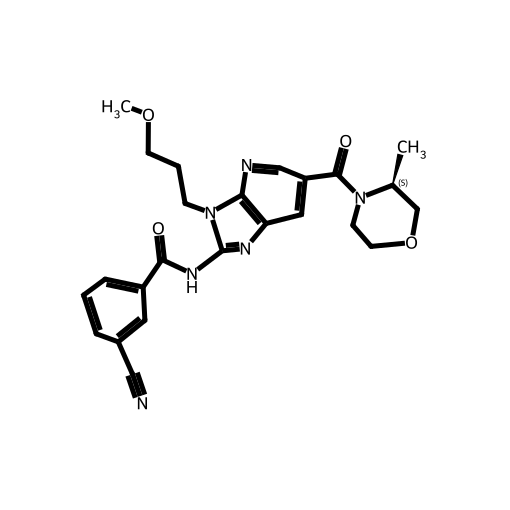 COCCCn1c(NC(=O)c2cccc(C#N)c2)nc2cc(C(=O)N3CCOC[C@@H]3C)cnc21